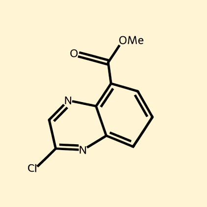 COC(=O)c1cccc2nc(Cl)cnc12